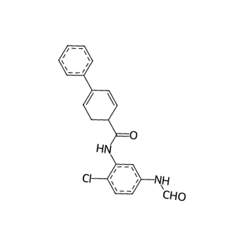 O=CNc1ccc(Cl)c(NC(=O)C2C=CC(c3ccccc3)=CC2)c1